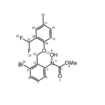 COC(=O)N(O)c1cccc(Br)c1COc1ccc(C)cc1C(F)F